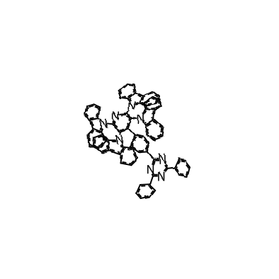 c1ccc(-c2nc(-c3ccccc3)nc(-c3ccc(-c4c(-n5c6ccccc6c6ccccc65)c(-n5c6ccccc6c6ccccc65)nc(-n5c6ccccc6c6ccccc65)c4-n4c5ccccc5c5ccccc54)cc3)n2)cc1